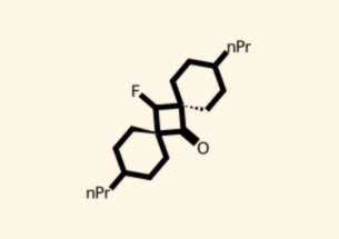 CCCC1CC[C@]2(CC1)C(=O)[C@@]1(CCC(CCC)CC1)C2F